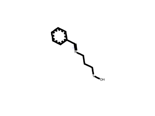 OSCCC/N=C/c1ccccc1